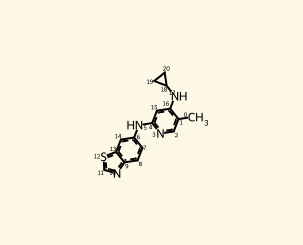 Cc1cnc(Nc2ccc3ncsc3c2)cc1NC1CC1